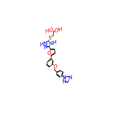 OC(O)CSC1NN=C(c2ccc(-c3cccc(OCc4ccc(-n5cncn5)cc4)c3)o2)N1